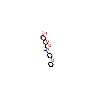 O=c1oc2cc(O)ccc2cc1-c1nc(-c2ccc(Oc3ccccc3)cc2)cs1